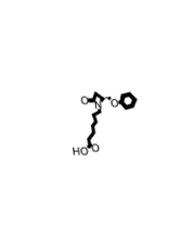 O=C(O)CCCCCCN1C(=O)C[C@@H]1COc1ccccc1